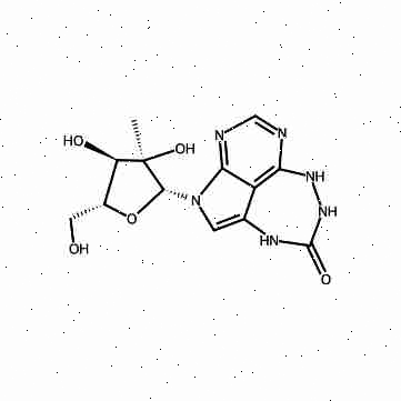 C[C@@]1(O)[C@H](O)[C@@H](CO)O[C@H]1n1cc2c3c(ncnc31)NNC(=O)N2